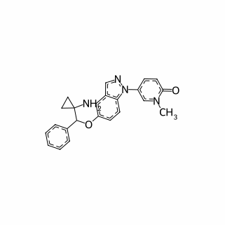 Cn1cc(-n2ncc3cc(OC(c4ccccc4)C4(N)CC4)ccc32)ccc1=O